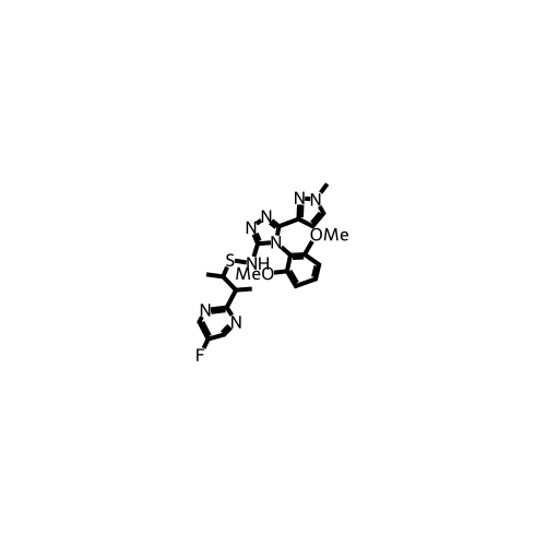 COc1cccc(OC)c1-n1c(NSC(C)C(C)c2ncc(F)cn2)nnc1-c1ccn(C)n1